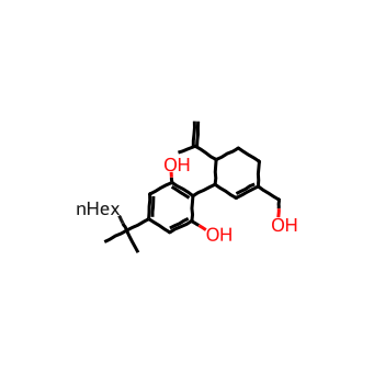 C=C(C)C1CCC(CO)=CC1c1c(O)cc(C(C)(C)CCCCCC)cc1O